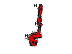 CC(=O)NCC(=O)N[C@@H](CO)C(=O)N[C@@H](Cc1ccc(O)cc1)C(=O)N[C@@H](Cc1c[nH]c2ccccc12)C(=O)N[C@@H](Cc1ccc(O)cc1)C(=O)N[C@@H](CC(=O)O)C(=O)N[C@H](C(=O)N[C@@H](Cc1c[nH]c2ccccc12)C(=O)N[C@@H](Cc1ccccc1)C(=O)NCCOCCOCCOCCOCCC(=O)NCc1cc(F)c(OC(=O)CCOCCOCCOCCOCCOCCOCCN)c(F)c1)C(C)C